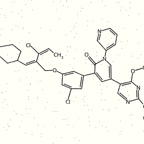 C/C=C(Cl)\C(=C/C1CCCCC1)COc1cc(Cl)cc(-c2cc(-c3cnc(OC)nc3OC)cn(-c3cccnc3)c2=O)c1